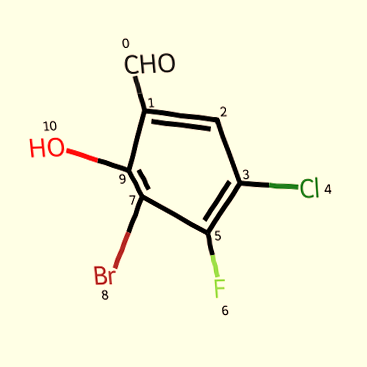 O=Cc1cc(Cl)c(F)c(Br)c1O